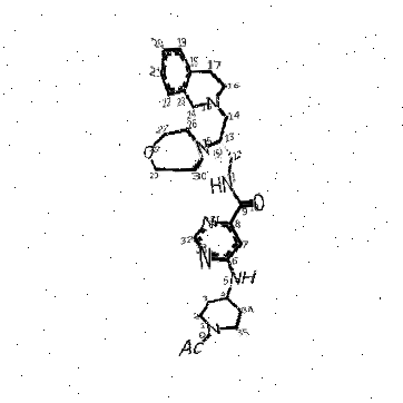 CC(=O)N1CCC(Nc2cc(C(=O)NC[C@@H](CN3CCc4ccccc4C3)N3CCOCC3)ncn2)CC1